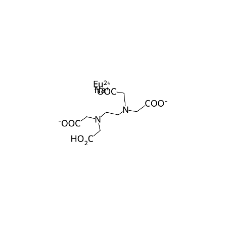 O=C([O-])CN(CCN(CC(=O)[O-])CC(=O)O)CC(=O)[O-].[Eu+2].[Na+]